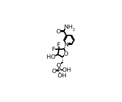 NC(=O)c1ccc[n+]([C@@H]2O[C@H](COP(=O)(O)O)C(O)C2(F)F)c1